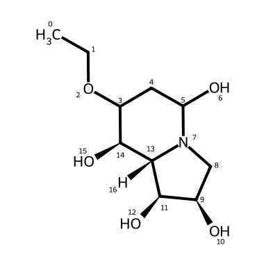 CCOC1CC(O)N2C[C@@H](O)[C@@H](O)[C@@H]2[C@H]1O